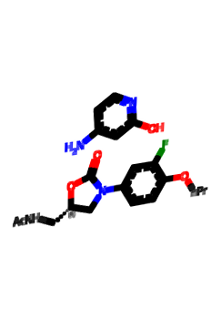 CCCOc1ccc(N2C[C@H](CNC(C)=O)OC2=O)cc1F.Nc1ccnc(O)c1